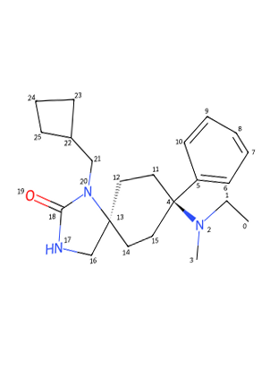 CCN(C)[C@]1(c2ccccc2)CC[C@]2(CC1)CNC(=O)N2CC1CCC1